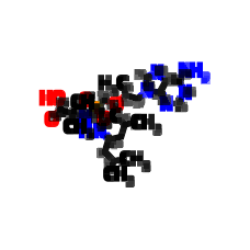 CC(C)CC(CC(C)C)=NOP(=O)(COC(C)Cn1cnc2c(N)ncnc21)NC(C)(C)C(=O)O